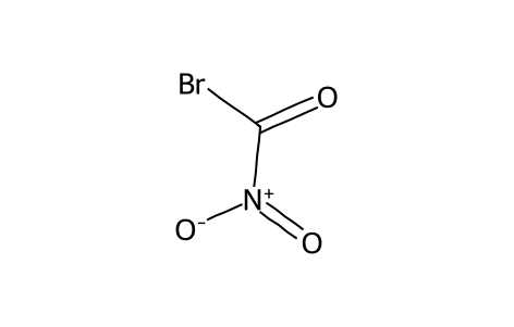 O=C(Br)[N+](=O)[O-]